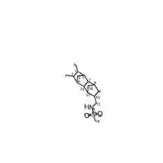 CC1C(C)C2CC1C1C3CC(CNS(C)(=O)=O)C(C3)C21